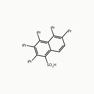 CC(C)c1ccc2c(S(=O)(=O)O)c(C(C)C)c(C(C)C)c(C(C)C)c2c1C(C)C